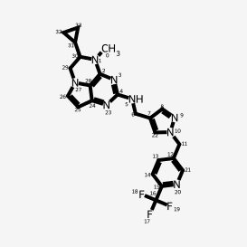 CN1c2nc(NCc3cnn(Cc4ccc(C(F)(F)F)nc4)c3)nc3ccn(c23)CC1C1CC1